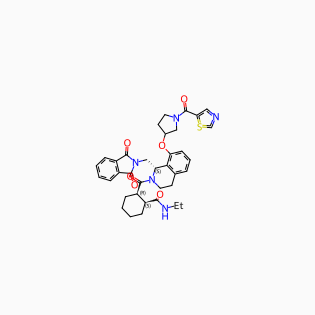 CCNC(=O)[C@H]1CCCC[C@H]1C(=O)N1CCc2cccc(OC3CCN(C(=O)c4cncs4)C3)c2[C@H]1CN1C(=O)c2ccccc2C1=O